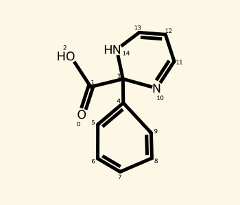 O=C(O)C1(c2ccccc2)N=CC=CN1